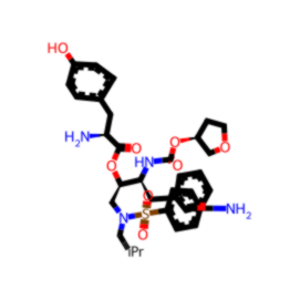 CC(C)CN(C[C@@H](OC(=O)[C@@H](N)Cc1ccc(O)cc1)[C@H](Cc1ccccc1)NC(=O)O[C@H]1CCOC1)S(=O)(=O)c1ccc(N)cc1